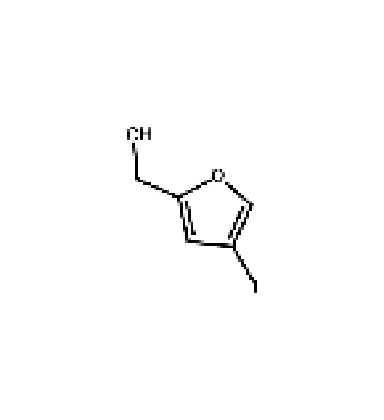 OCc1cc(I)co1